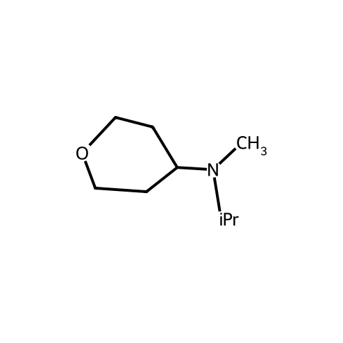 CC(C)N(C)C1CCOCC1